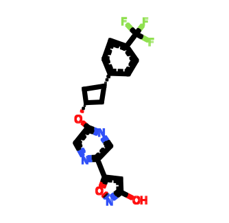 Oc1cc(-c2cnc(O[C@H]3C[C@@H](c4ccc(C(F)(F)F)cc4)C3)cn2)on1